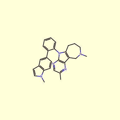 Cc1cnc2c(n1)c1c(n2-c2ccccc2-c2ccc3c(ccn3C)c2)CCCN(C)C1